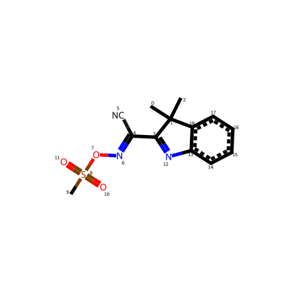 CC1(C)C(/C(C#N)=N/OS(C)(=O)=O)=Nc2ccccc21